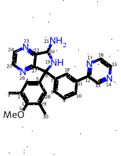 COc1c(C)cc(C2(c3cccc(-c4cnccn4)c3)NC(N)c3nccnc32)cc1C